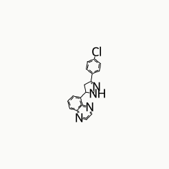 Clc1ccc(C2=NNC(c3cccc4nccnc34)C2)cc1